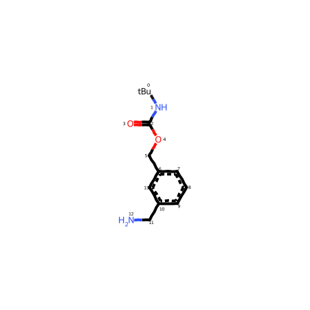 CC(C)(C)NC(=O)OCc1cccc(CN)c1